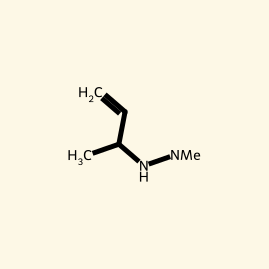 C=CC(C)NNC